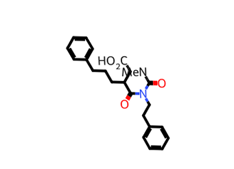 CNC(=O)N(CCc1ccccc1)C(=O)C(CCCc1ccccc1)CC(=O)O